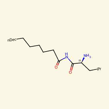 CCCCCCCCCCCCCCCC(=O)NC(=O)[C@@H](N)CC(C)C